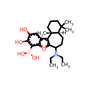 CCN(CC)C1CC[C@@H]2C(C)(C)CCC[C@@]2(C)c2c1oc1c(B(O)O)c(O)c(O)cc21